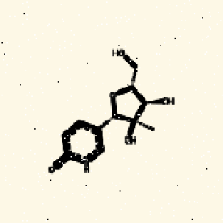 C[C@@]1(O)[C@H](O)[C@@H](CO)O[C@H]1c1ccc(=O)[nH]c1